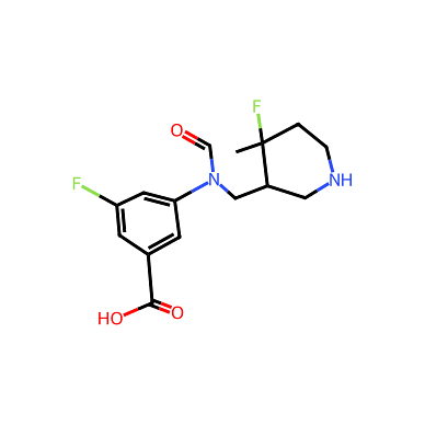 CC1(F)CCNCC1CN(C=O)c1cc(F)cc(C(=O)O)c1